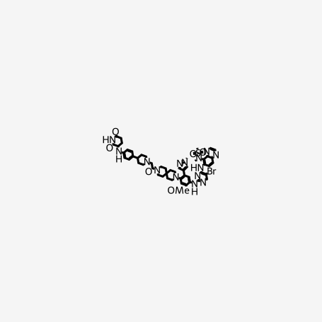 COc1cc(N2CCC3(CCN(C(=O)CN4CCC(c5ccc(NC6CCC(=O)NC6=O)cc5)CC4)CC3)CC2)c(-c2cnn(C)c2)cc1Nc1ncc(Br)c(Nc2ccc3nccnc3c2N(C)S(C)(=O)=O)n1